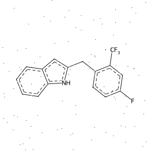 Fc1ccc(Cc2cc3ccccc3[nH]2)c(C(F)(F)F)c1